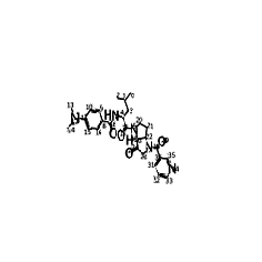 CC(C)C[C@H](NC(=O)c1ccc(N(C)C)cc1)C(=O)N1CCC2[C@H]1C(=O)CN2C(=O)c1cccnc1